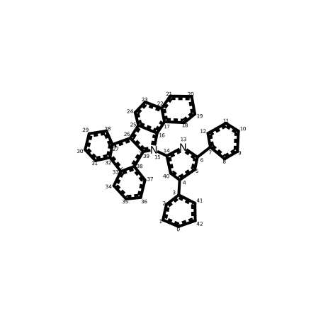 c1ccc(-c2cc(-c3ccccc3)nc(-n3c4c5ccccc5ccc4c4c5ccccc5c5ccccc5c43)c2)cc1